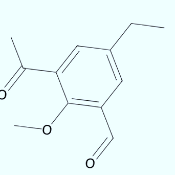 CCc1cc(C=O)c(OC)c(C(C)=O)c1